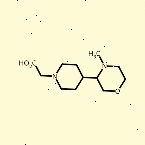 CN1CCOCC1C1CCN(CC(=O)O)CC1